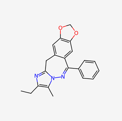 CCc1nc2n(c1C)N=C(c1ccccc1)c1cc3c(cc1C2)OCO3